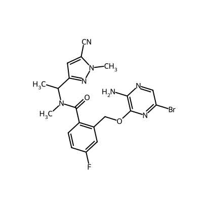 CC(c1cc(C#N)n(C)n1)N(C)C(=O)c1ccc(F)cc1COc1nc(Br)cnc1N